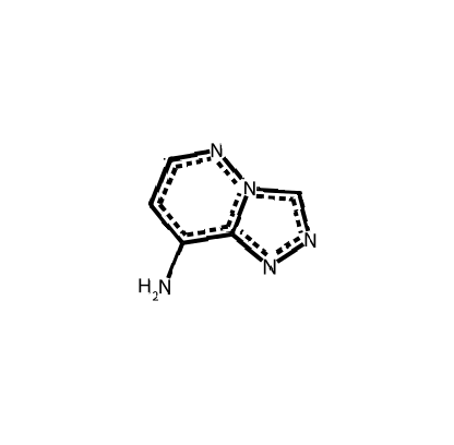 Nc1c[c]nn2cnnc12